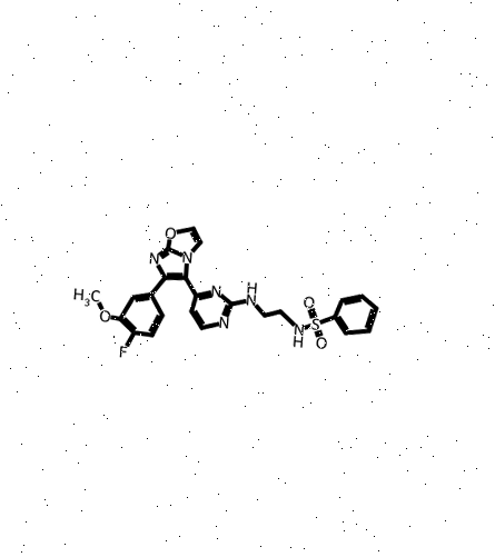 COc1cc(-c2nc3occn3c2-c2ccnc(NCCNS(=O)(=O)c3ccccc3)n2)ccc1F